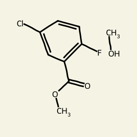 CO.COC(=O)c1cc(Cl)ccc1F